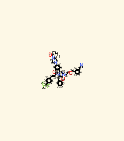 CC(=O)N1CCN(c2ccc(CN(C(=O)C=Cc3ccc(C(F)(F)F)cc3)[C@@H](Cc3ccccc3)C(=O)N(C)CCOCc3cccc(C#N)c3)cc2)CC1